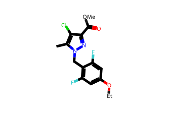 CCOc1cc(F)c(Cn2nc(C(=O)OC)c(Cl)c2C)c(F)c1